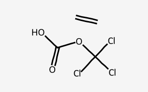 C=C.O=C(O)OC(Cl)(Cl)Cl